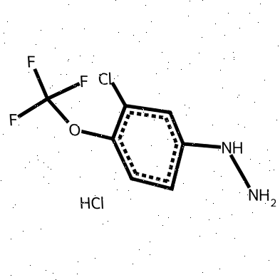 Cl.NNc1ccc(OC(F)(F)F)c(Cl)c1